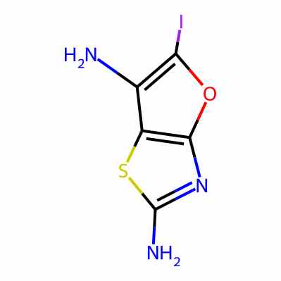 Nc1nc2oc(I)c(N)c2s1